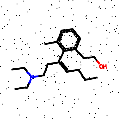 CCC/C=C(/CCN(CC)CC)c1c(C)cccc1CCO